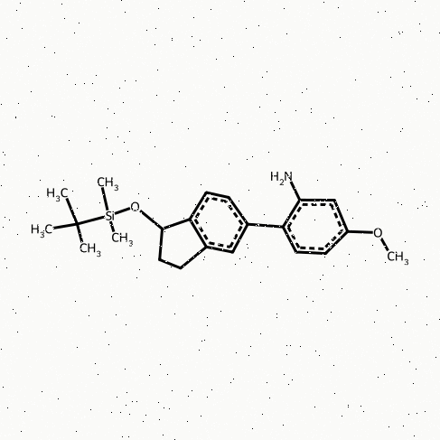 COc1ccc(-c2ccc3c(c2)CCC3O[Si](C)(C)C(C)(C)C)c(N)c1